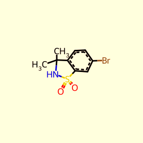 CC1(C)NS(=O)(=O)c2cc(Br)ccc21